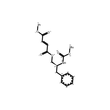 CC(C)OC(=O)/C=C/C(=O)OC[C@H](Cc1ccccc1)NC(=O)OC(C)(C)C